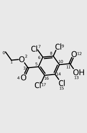 CCOC(=O)c1c(Cl)c(Cl)c(C(=O)O)c(Cl)c1Cl